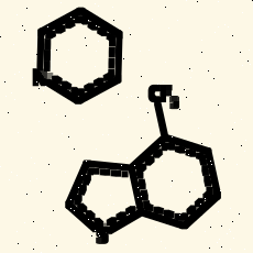 FC(F)(F)c1cccc2sccc12.c1ccncc1